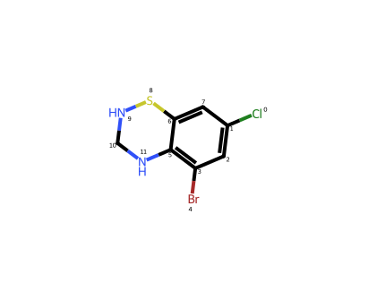 Clc1cc(Br)c2c(c1)SNCN2